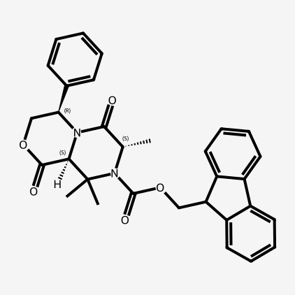 C[C@H]1C(=O)N2[C@H](c3ccccc3)COC(=O)[C@@H]2C(C)(C)N1C(=O)OCC1c2ccccc2-c2ccccc21